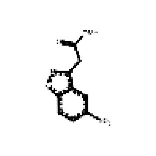 COC(=O)Cc1nsc2ccc([N+](=O)[O-])cc12